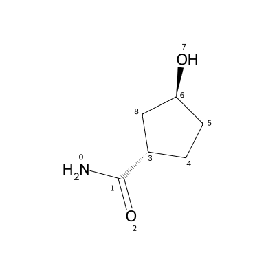 NC(=O)[C@H]1CC[C@H](O)C1